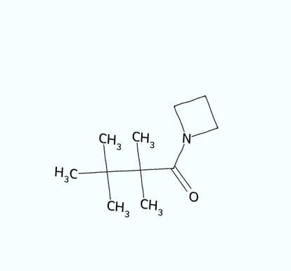 CC(C)(C)C(C)(C)C(=O)N1CCC1